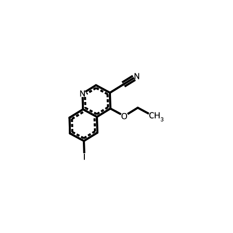 CCOc1c(C#N)cnc2ccc(I)cc12